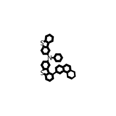 C1=Cc2c(ccc3ccc(-c4cccc5sc6ccc(N(c7ccccc7)c7ccc8sc9ccccc9c8c7)cc6c45)cc23)CC1